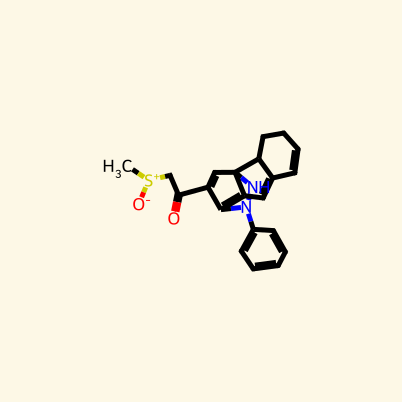 C[S+]([O-])CC(=O)C1=CC23NN(c4ccccc4)C1=C2C=C1C=CCCC13